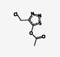 CC(=O)Oc1snnc1CCl